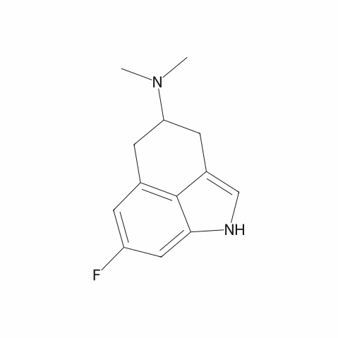 CN(C)C1Cc2c[nH]c3cc(F)cc(c23)C1